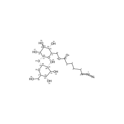 [N-]=[N+]=NCCCCC(=O)OCC1O[C@H](O[C@H]2OC(CO)[C@@H](O)C(O)[C@H]2O)C(O)[C@@H](O)[C@@H]1O